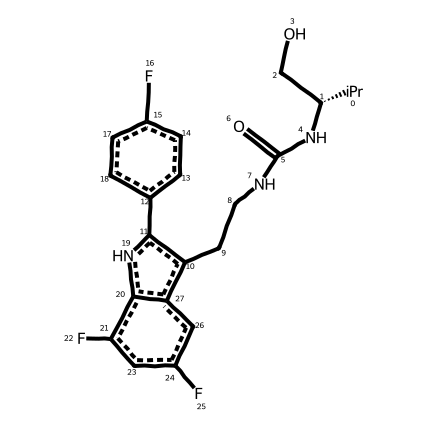 CC(C)[C@@H](CO)NC(=O)NCCc1c(-c2ccc(F)cc2)[nH]c2c(F)cc(F)cc12